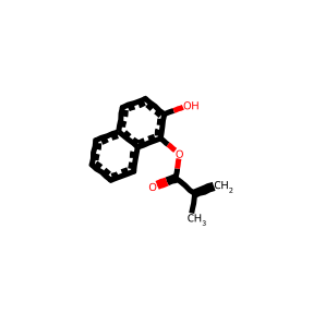 C=C(C)C(=O)Oc1c(O)ccc2ccccc12